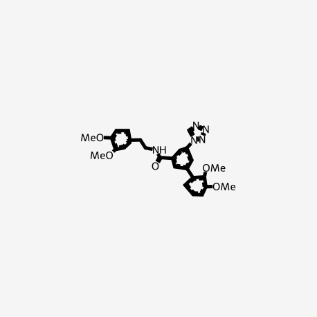 COc1ccc(CCNC(=O)c2cc(-c3cccc(OC)c3OC)cc(-n3cnnn3)c2)cc1OC